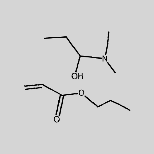 C=CC(=O)OCCC.CCC(O)N(C)C